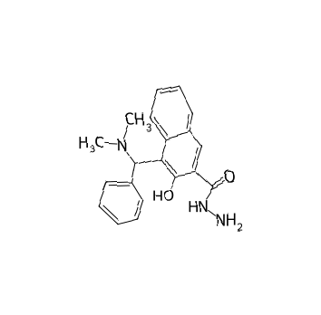 CN(C)C(c1ccccc1)c1c(O)c(C(=O)NN)cc2ccccc12